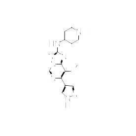 COc1c(-c2cn[nH]c2)ncn2nc(NC3CCNCC3)nc12